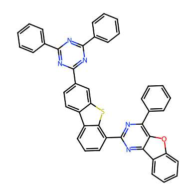 c1ccc(-c2nc(-c3ccccc3)nc(-c3ccc4c(c3)sc3c(-c5nc(-c6ccccc6)c6oc7ccccc7c6n5)cccc34)n2)cc1